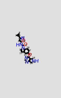 O=C(Nc1cc(C2CC2)no1)n1ccc2cc(Oc3ncnc4c3CNC4)ccc21